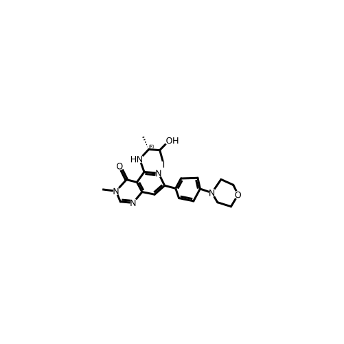 C[C@@H](Nc1nc(-c2ccc(N3CCOCC3)cc2)cc2ncn(C)c(=O)c12)C(O)I